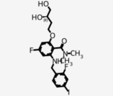 CN(C)C(=O)c1c(NCc2ccc(I)cc2F)cc(F)cc1OCC[C@@H](O)CO